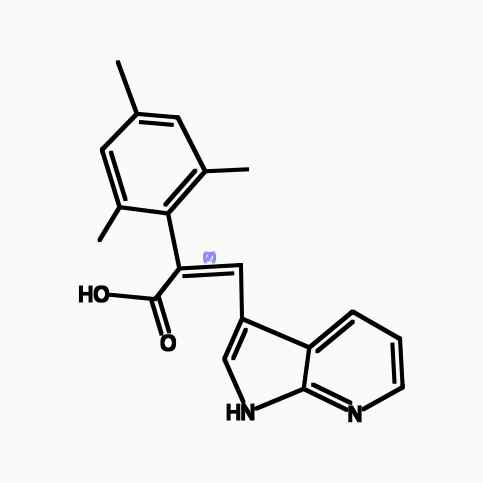 Cc1cc(C)c(/C(=C/c2c[nH]c3ncccc23)C(=O)O)c(C)c1